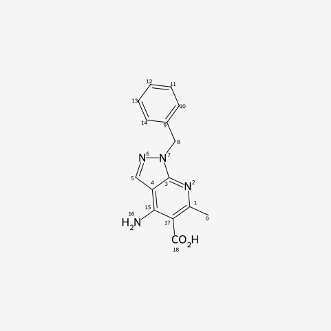 Cc1nc2c(cnn2Cc2ccccc2)c(N)c1C(=O)O